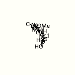 CO[C@@H](C)c1c(NC(=O)Nc2cnc(C(=O)NOCCO)c(Cl)c2)cnc2cc(Cl)nn12